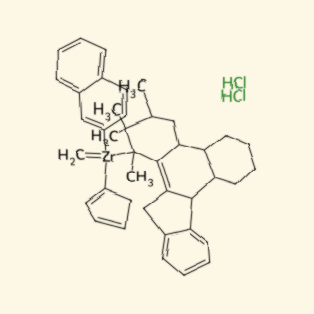 Cl.Cl.[CH2]=[Zr]([C]1=CC=CC1)([c]1ccc2ccccc2c1)[C]1(C)C2=C3Cc4ccccc4C3C3CCCCC3C2CC(C)C1(C)C